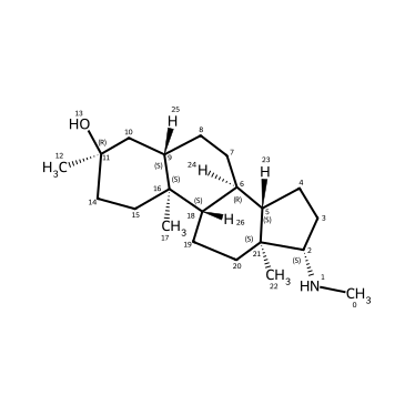 CN[C@H]1CC[C@H]2[C@@H]3CC[C@H]4C[C@](C)(O)CC[C@]4(C)[C@H]3CC[C@]12C